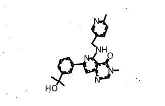 Cc1ccc(CNc2nc(-c3cccc(C(C)(C)O)c3)cc3ncn(C)c(=O)c23)cn1